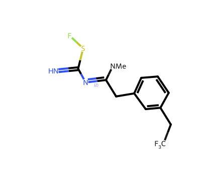 CN/C(Cc1cccc(CC(F)(F)F)c1)=N\C(=N)SF